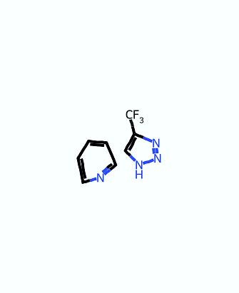 FC(F)(F)c1c[nH]nn1.c1ccncc1